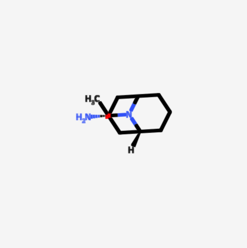 CCN1C2CCC[C@@H]1C[C@H](N)C2